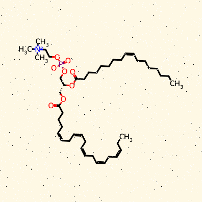 CC/C=C\C/C=C\C/C=C\C/C=C\C/C=C\CCCC(=O)OC[C@H](COP(=O)([O-])OCC[N+](C)(C)C)OC(=O)CCCCCCC/C=C\CCCCCCC